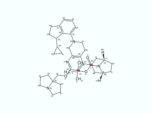 CC(C)(C)OC(=O)N1[C@@H]2CC[C@H]1CN(c1nc(OCC34CCCN3CCC4)nc3c1CCN(c1cccc4c1C(C1CC1)CC4)C3)C2